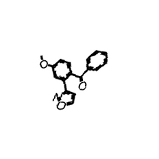 COc1ccc(C(=O)c2ccccc2)c(-c2ccon2)c1